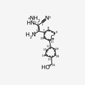 N#C/C(NN)=C(/N)c1cccc(-c2ccc(CO)cc2)c1